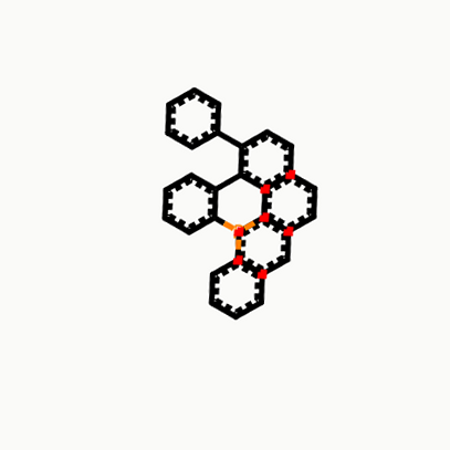 c1ccc(-c2cccc(-c3ccccc3)c2-c2ccccc2P(c2ccccc2)c2ccccc2)cc1